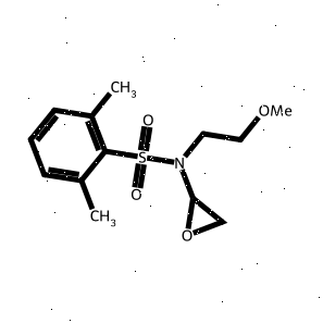 COCCN(C1CO1)S(=O)(=O)c1c(C)cccc1C